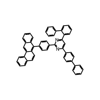 c1ccc(-c2ccc(-c3cc(-c4ccccc4-c4ccccc4)nc(-c4ccc(-c5c6ccccc6cc6c5ccc5ccccc56)cc4)n3)cc2)cc1